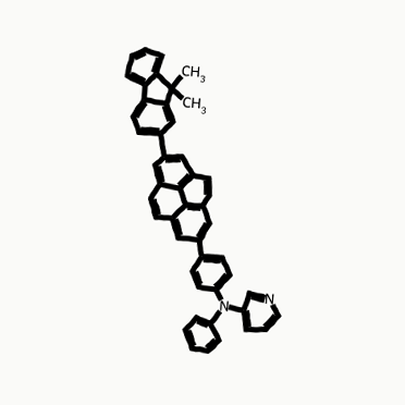 CC1(C)c2ccccc2-c2ccc(-c3cc4ccc5cc(-c6ccc(N(c7ccccc7)c7cccnc7)cc6)cc6ccc(c3)c4c56)cc21